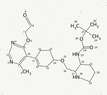 Cc1ncnc(OCC=O)c1C1=CCC(OCC2NCCCC2NC(=O)OC(C)(C)C)CC1